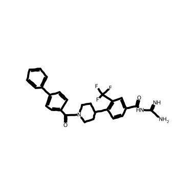 N=C(N)NC(=O)c1ccc(C2CCN(C(=O)c3ccc(-c4ccccc4)cc3)CC2)c(C(F)(F)F)c1